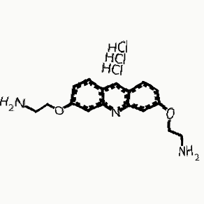 Cl.Cl.Cl.NCCOc1ccc2cc3ccc(OCCN)cc3nc2c1